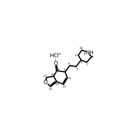 Cl.O=C1C(CCC2CCNCC2)C=CC2=COCC12